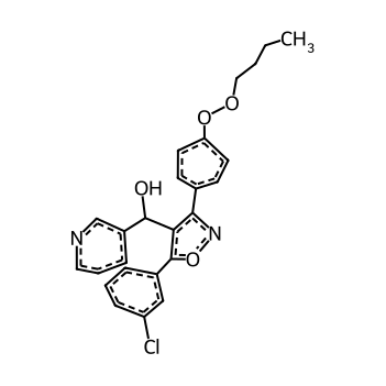 CCCCOOc1ccc(-c2noc(-c3cccc(Cl)c3)c2C(O)c2cccnc2)cc1